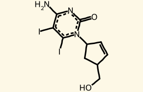 Nc1nc(=O)n(C2C=CC(CO)C2)c(I)c1I